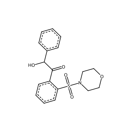 O=C(c1ccccc1S(=O)(=O)N1CCOCC1)C(O)c1ccccc1